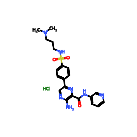 CN(C)CCCNS(=O)(=O)c1ccc(-c2cnc(N)c(C(=O)Nc3cccnc3)n2)cc1.Cl